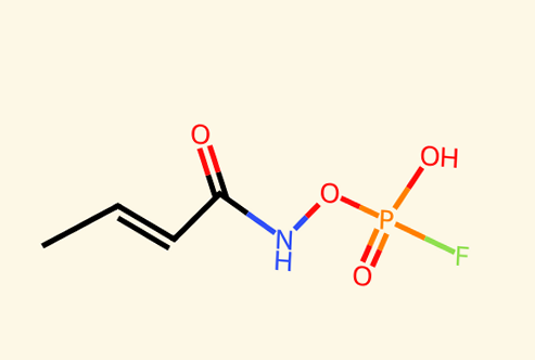 CC=CC(=O)NOP(=O)(O)F